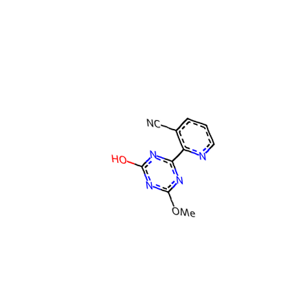 COc1nc(O)nc(-c2ncccc2C#N)n1